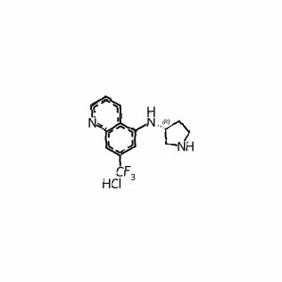 Cl.FC(F)(F)c1cc(N[C@@H]2CCNC2)c2cccnc2c1